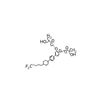 C=C(CO)C(=O)OCCOc1ccc(-c2ccc(C3CCC(CCCCC(F)(F)F)CC3)cc2)cc1OCCOC(=O)C(=C)CO